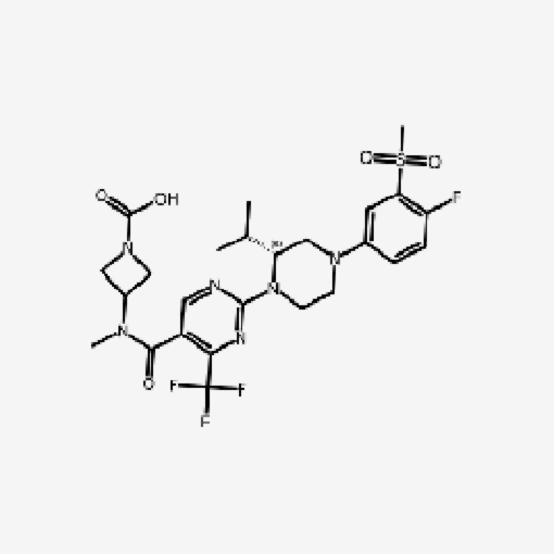 CC(C)[C@@H]1CN(c2ccc(F)c(S(C)(=O)=O)c2)CCN1c1ncc(C(=O)N(C)C2CN(C(=O)O)C2)c(C(F)(F)F)n1